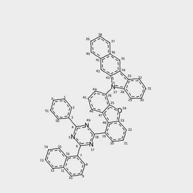 c1ccc(-c2nc(-c3cccc4ccccc34)nc(-c3cccc4oc5c(-n6c7ccccc7c7cc8ccccc8cc76)cccc5c34)n2)cc1